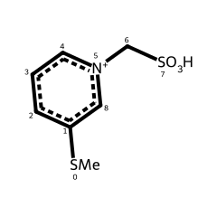 [CH2]Sc1ccc[n+](CS(=O)(=O)O)c1